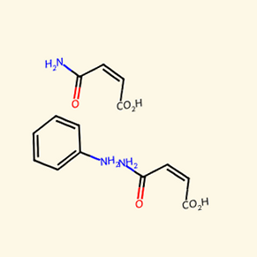 NC(=O)/C=C\C(=O)O.NC(=O)/C=C\C(=O)O.Nc1ccccc1